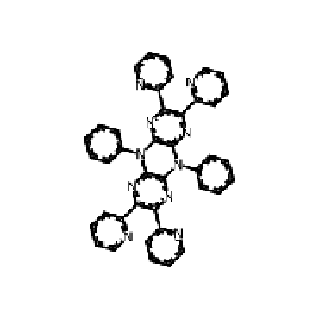 c1ccc(N2c3nc(-c4ccccn4)c(-c4ccccn4)nc3N(c3ccccc3)c3nc(-c4ccccn4)c(-c4ccccn4)nc32)cc1